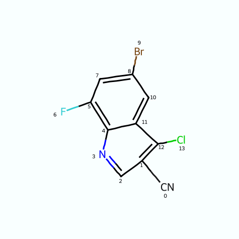 N#Cc1cnc2c(F)cc(Br)cc2c1Cl